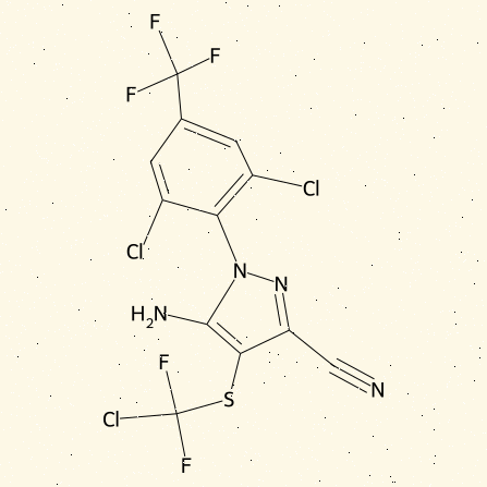 N#Cc1nn(-c2c(Cl)cc(C(F)(F)F)cc2Cl)c(N)c1SC(F)(F)Cl